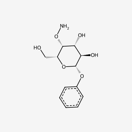 NO[C@@H]1[C@H](O)[C@@H](O)[C@H](Oc2ccccc2)O[C@@H]1CO